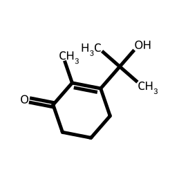 CC1=C(C(C)(C)O)CCCC1=O